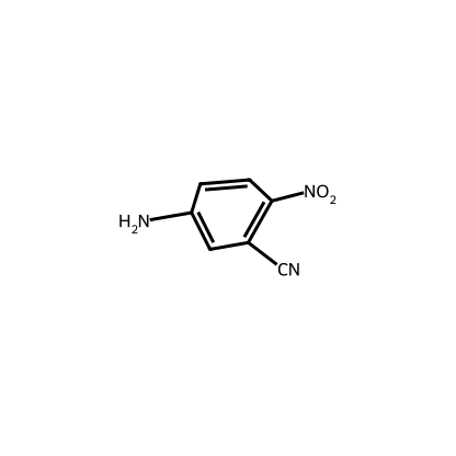 N#Cc1cc(N)ccc1[N+](=O)[O-]